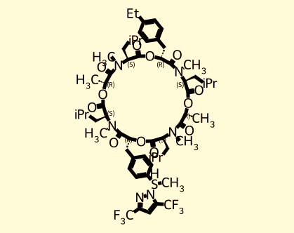 CCc1ccc(C[C@H]2OC(=O)[C@H](CC(C)C)N(C)C(=O)[C@@H](C)OC(=O)[C@H](CC(C)C)N(C)C(=O)[C@@H](Cc3ccc([SH](C)n4nc(C(F)(F)F)cc4C(F)(F)F)cc3)OC(=O)[C@H](CC(C)C)N(C)C(=O)[C@@H](C)OC(=O)[C@H](CC(C)C)N(C)C2=O)cc1